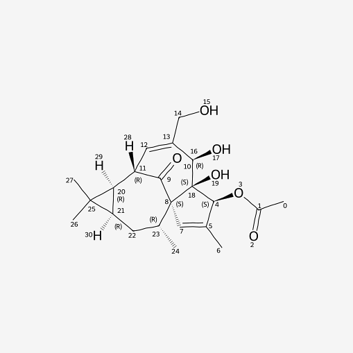 CC(=O)O[C@H]1C(C)=C[C@]23C(=O)[C@@H](C=C(CO)[C@@H](O)[C@]12O)[C@H]1[C@@H](C[C@H]3C)C1(C)C